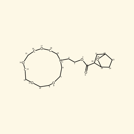 O=C(OCCN1CCOCCOCCOCCOCC1)C1CC2CCC1O2